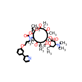 CC[C@H]1OC(=O)[C@H](C)C(=O)[C@H](C)[C@@H](OC2O[C@H](C)C[C@H](N(C)C)[C@H]2O)[C@@](C)(OC)C[C@@H](C)C(=O)[C@H](C)[C@H]2N(CCCOc3cccc(-c4cccnc4)c3)C(=O)O[C@]12CC